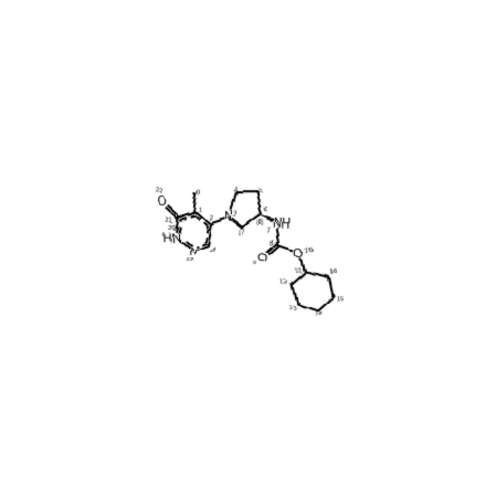 Cc1c(N2CC[C@@H](NC(=O)OC3CCCCC3)C2)cn[nH]c1=O